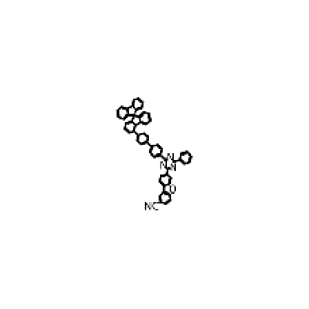 N#Cc1ccc2oc3cc(-c4nc(-c5ccccc5)nc(-c5ccc(-c6ccc(-c7cccc8c7-c7ccccc7C87c8ccccc8-c8ccccc87)cc6)cc5)n4)ccc3c2c1